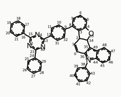 C1=CC2c3c(cccc3-c3ccc(-c4nc(-c5ccccc5)nc(-c5ccccc5)n4)cc3)OC2c2c1n(-c1ccccc1)c1ccccc21